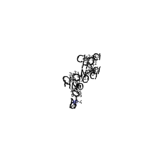 CO/N=C(\C)c1ccc(NC(=O)c2cc(NC(=O)C3C(c4cc(Cl)cc(Cl)c4)C3(Cl)Cl)ccc2Cl)cc1